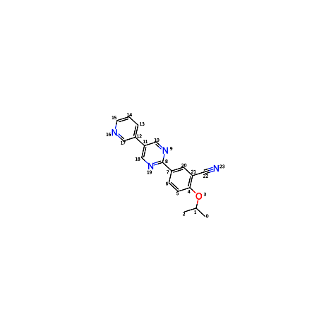 CC(C)Oc1ccc(-c2ncc(-c3cccnc3)cn2)cc1C#N